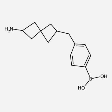 NC1CC2(C1)CC(Cc1ccc(B(O)O)cc1)C2